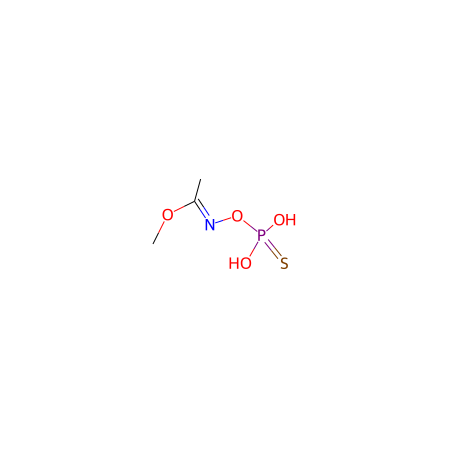 COC(C)=NOP(O)(O)=S